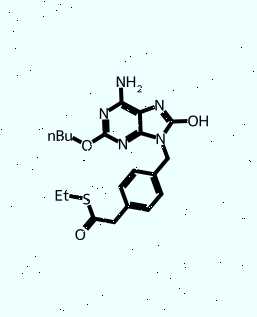 CCCCOc1nc(N)c2nc(O)n(Cc3ccc(CC(=O)SCC)cc3)c2n1